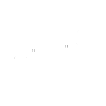 CC(C)(C)OC(=O)n1cc(C=N[S+]([O-])C(C)(C)C)c2ccccc21